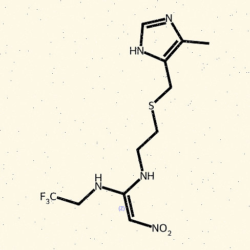 Cc1nc[nH]c1CSCCN/C(=C\[N+](=O)[O-])NCC(F)(F)F